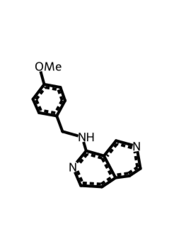 COc1ccc(CNc2nccc3ccncc23)cc1